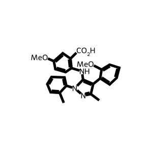 COc1ccc(Nc2c(-c3ccccc3OC)c(C)nn2-c2ccccc2C)c(C(=O)O)c1